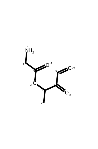 CC(OC(=O)CN)C(=O)C=O